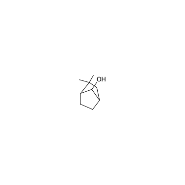 CC1(C)CC2CCC1C2O